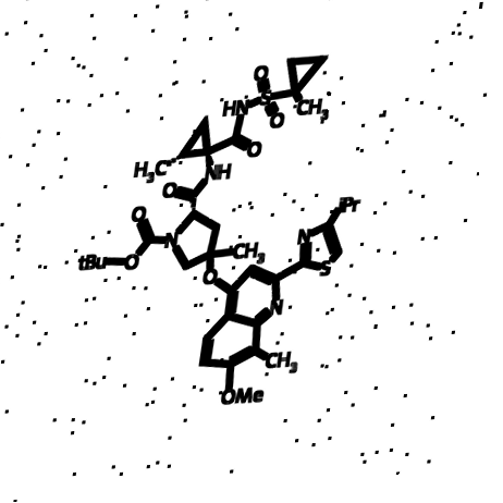 COc1ccc2c(OC3(C)C[C@@H](C(=O)N[C@]4(C(=O)NS(=O)(=O)C5(C)CC5)C[C@H]4C)N(C(=O)OC(C)(C)C)C3)cc(-c3nc(C(C)C)cs3)nc2c1C